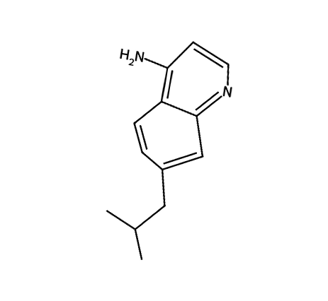 CC(C)Cc1ccc2c(N)ccnc2c1